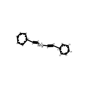 [C](#Cc1ccccc1)[Mg][C]#Cc1ccccc1